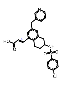 O=C(O)/C=C/c1cc(Cc2cccnc2)cc2c1CCC(NS(=O)(=O)c1ccc(Cl)cc1)C2